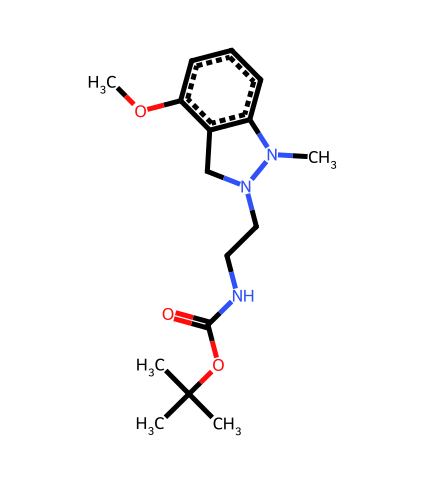 COc1cccc2c1CN(CCNC(=O)OC(C)(C)C)N2C